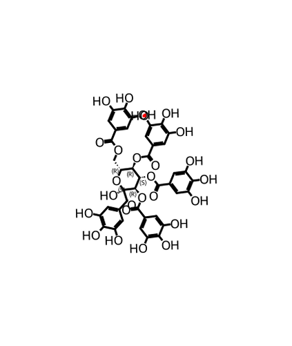 O=C(OC[C@H]1O[C@](O)(C(=O)c2cc(O)c(O)c(O)c2)[C@H](OC(=O)c2cc(O)c(O)c(O)c2)[C@@H](OC(=O)c2cc(O)c(O)c(O)c2)[C@@H]1OC(=O)c1cc(O)c(O)c(O)c1)c1cc(O)c(O)c(O)c1